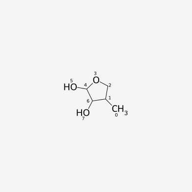 CC1COC(O)C1O